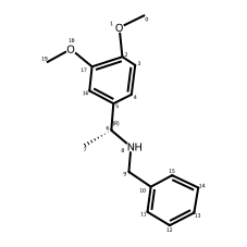 COc1ccc([C@@H](C)NCc2ccccc2)cc1OC